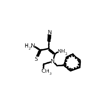 CCN(Cc1ccccc1)/C(N)=C(/C#N)C(N)=S